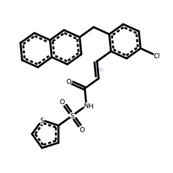 O=C(/C=C/c1cc(Cl)ccc1Cc1ccc2ccccc2c1)NS(=O)(=O)c1cccs1